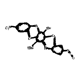 CC(C)(C)c1c2c(c(C(C)(C)C)c3c1=Nc1ccc(N=C=O)cc1O3)=Nc1ccc([N+](=O)[O-])cc1O2